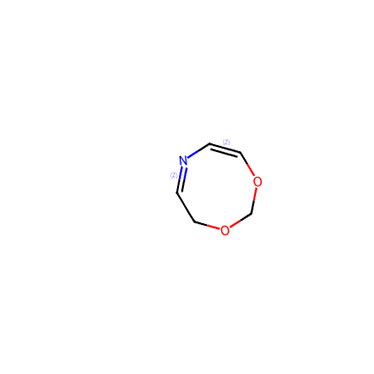 C1=C\OCOC\C=N/1